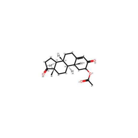 CC(=O)OC1C[C@H]2C(=CC1=O)CC[C@@H]1[C@@H]2CC[C@]2(C)C(=O)CC[C@@H]12